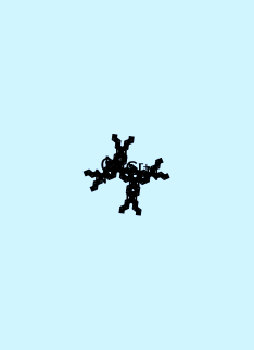 [C-]#[N+]c1cc(N(CCCC)CCCC)ccc1[N+](=C1C=CC(=[N+](c2ccc(N(CCCC)CCCC)cc2)c2ccc(N(CCCC)CCCC)cc2[N+]#[C-])C=C1)c1ccc(N(CCCC)CCCC)cc1